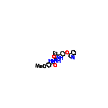 CCC(NC(=O)NNC(=O)c1ccc(OC)cc1)C1CCC(Oc2ccnc3ccccc23)CC1